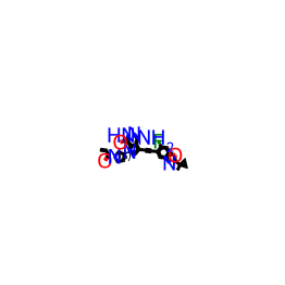 C=CC(=O)N1CC[C@H](n2cc(C#Cc3cc4nc(C5(C)CC5)oc4cc3F)c3c(N)n[nH]c(=O)c32)C1